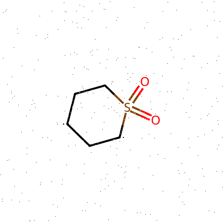 O=S1(=O)[CH]C[CH]CC1